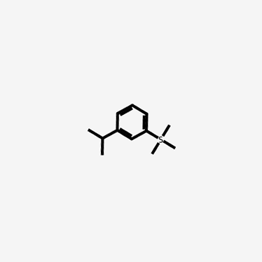 CC(C)c1cccc(S(C)(C)C)c1